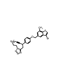 CC#CC(Cc1nnnn1CCC#N)c1ccc(OCc2cc(C)c3scc(Br)c3c2)cc1